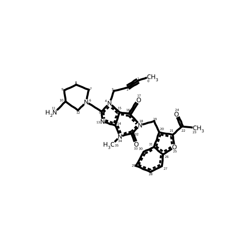 CC#CCn1c(N2CCCC(N)C2)nc2c1c(=O)n(Cc1c(C(C)=O)oc3ccccc13)c(=O)n2C